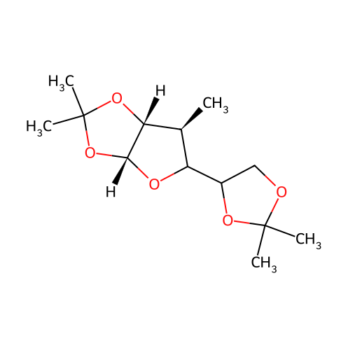 C[C@H]1C(C2COC(C)(C)O2)O[C@@H]2OC(C)(C)O[C@@H]21